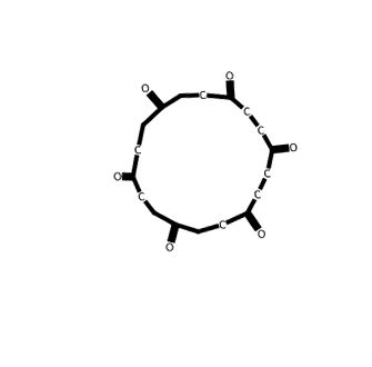 O=C1CCC(=O)CCC(=O)CCC(=O)CCC(=O)CCC(=O)CC1